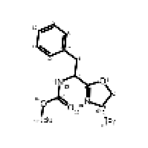 CC(C)[C@H]1COC(C(Cc2ccccc2)NC(=O)OC(C)(C)C)=N1